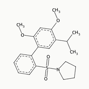 COc1cc(OC)c(C(C)C)cc1-c1ccccc1S(=O)(=O)N1CCCC1